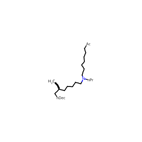 C=C=C(CCCCCCCCCCC)CCCCCN(CCC)CCCCCCCC(C)=O